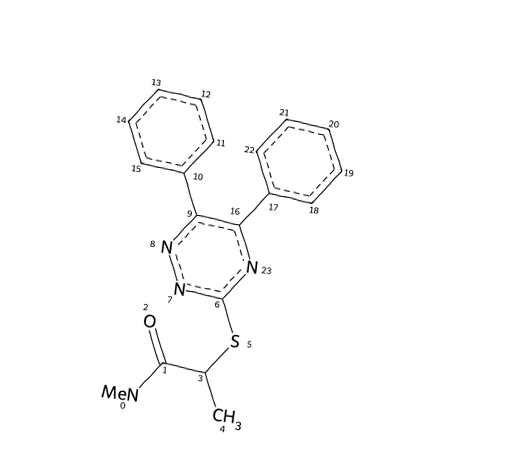 CNC(=O)C(C)Sc1nnc(-c2ccccc2)c(-c2ccccc2)n1